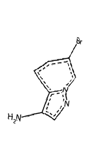 Nc1cnn2cc(Br)ccc12